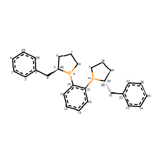 c1ccc(C[C@H]2CCCP2c2ccccc2P2CCC[C@@H]2Cc2ccccc2)cc1